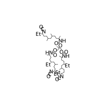 CCC(CCC(C)NC(=O)OCC(C)(COC(=O)NC(C)CCC(CC)CC(C)CCC(CC)N=C=O)OC(=O)NC(C)CCC(C)CC(C)CCC(CC)N=C=O)CC(C)CCC(CC)N=C=O